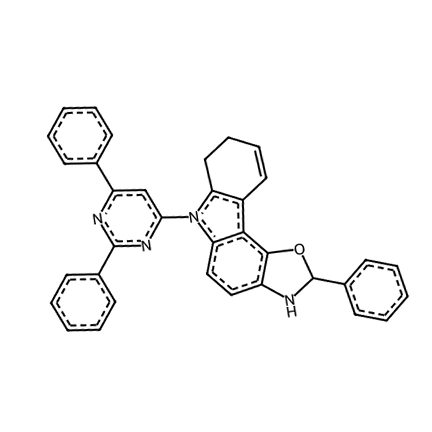 C1=Cc2c(n(-c3cc(-c4ccccc4)nc(-c4ccccc4)n3)c3ccc4c(c23)OC(c2ccccc2)N4)CC1